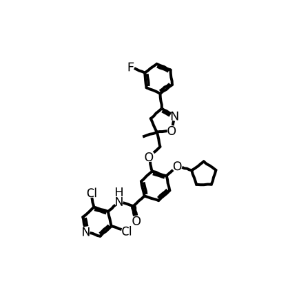 CC1(COc2cc(C(=O)Nc3c(Cl)cncc3Cl)ccc2OC2CCCC2)CC(c2cccc(F)c2)=NO1